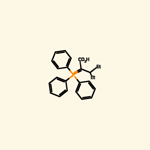 CCC(CC)C(C(=O)O)=P(c1ccccc1)(c1ccccc1)c1ccccc1